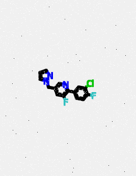 Fc1ccc(-c2ncc(Cn3cccn3)cc2F)cc1Cl